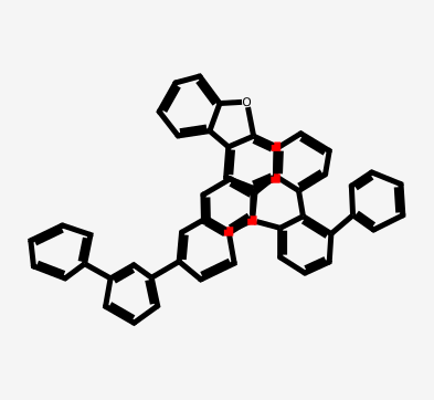 c1ccc(-c2cccc(-c3ccc(N(c4ccc5oc6ccccc6c5c4)c4cccc(-c5ccccc5)c4-c4ccccc4-c4ccccc4)cc3)c2)cc1